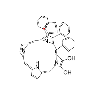 OC1=C(O)c2nc1cc1ccc(cc3nc(cc4c(-c5ccccc5)c(-c5ccccc5)c(c2-c2ccccc2)n4-c2ccccc2)C=C3)[nH]1